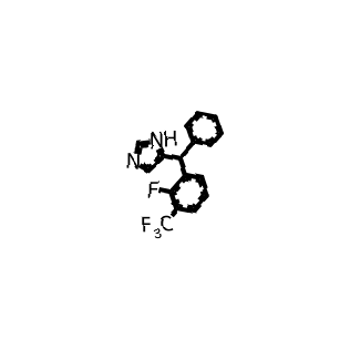 Fc1c(C(c2ccccc2)c2cnc[nH]2)cccc1C(F)(F)F